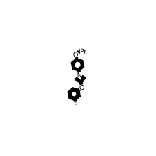 CC(C)OC1CCC(N2CC(Oc3cccc(F)c3)C2)CC1